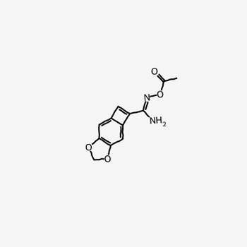 CC(=O)ON=C(N)C1=Cc2cc3c(cc21)OCO3